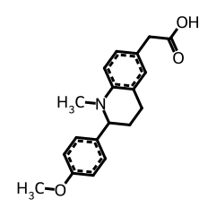 COc1ccc(C2CCc3cc(CC(=O)O)ccc3N2C)cc1